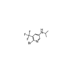 CC(C)Nc1cnc(Br)c(C(F)(F)F)c1